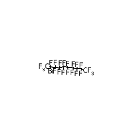 FC(F)(F)C(F)(F)C(F)(F)C(F)(F)C(F)(F)C(F)(F)C(F)(F)C(F)(F)C(F)(Br)C(F)(F)F